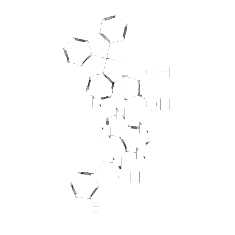 CN(Cc1cccc(F)c1)c1ncnc2c1ncn2[C@@H]1O[C@H](CC(c2ccccc2)(c2ccccc2)c2ccncc2)[C@@H](O)[C@H]1O